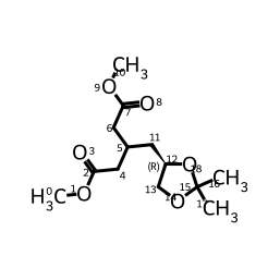 COC(=O)CC(CC(=O)OC)C[C@@H]1COC(C)(C)O1